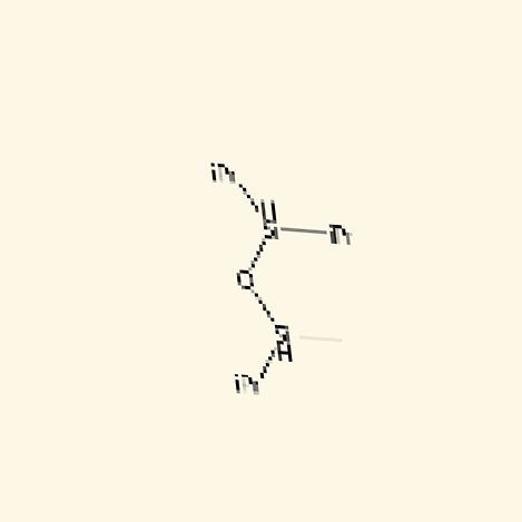 CC(C)[SiH](C)O[SiH](C(C)C)C(C)C